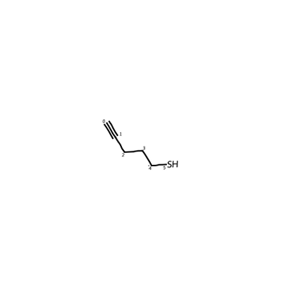 C#CCC[CH]S